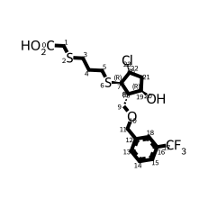 O=C(O)CSCCCS[C@@H]1[C@@H](COCc2cccc(C(F)(F)F)c2)[C@H](O)C[C@H]1Cl